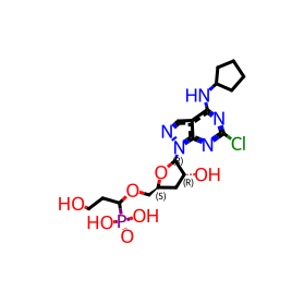 O=P(O)(O)C(CCO)OC[C@@H]1C[C@@H](O)[C@H](n2ncc3c(NC4CCCC4)nc(Cl)nc32)O1